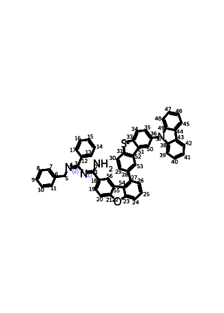 N/C(=N\C(=N/Cc1ccccc1)c1ccccc1)c1ccc2oc3cccc(-c4ccc5sc6ccc(-n7c8ccccc8c8ccccc87)cc6c5c4)c3c2c1